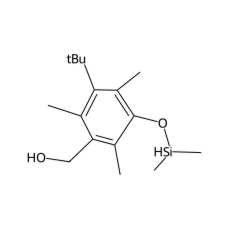 Cc1c(CO)c(C)c(C(C)(C)C)c(C)c1O[SiH](C)C